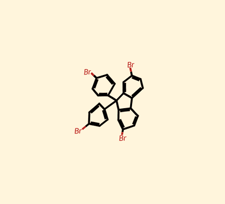 Brc1ccc(C2(c3ccc(Br)cc3)c3cc(Br)ccc3-c3ccc(Br)cc32)cc1